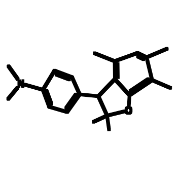 Cc1cc(C)c2c(c1C)OC(C)(C)C2c1ccc(N(C)C)cc1